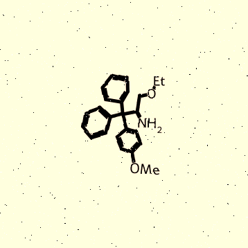 [CH2]COCC(N)C(c1ccccc1)(c1ccccc1)c1ccc(OC)cc1